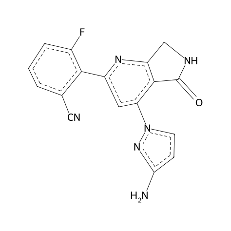 N#Cc1cccc(F)c1-c1cc(-n2ccc(N)n2)c2c(n1)CNC2=O